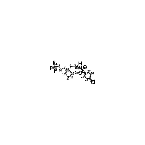 O=S(=O)(N[C@@H]1CCc2c(CCCC(F)(F)F)cccc2C1)c1ccc(Cl)cc1